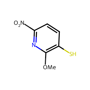 COc1nc([N+](=O)[O-])ccc1S